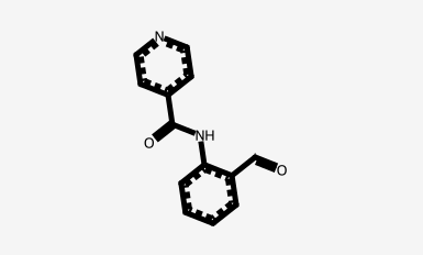 O=[C]c1ccccc1NC(=O)c1ccncc1